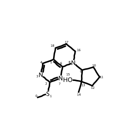 CSc1ncc2c(n1)N(C1CCCC1(C)O)CC=C2